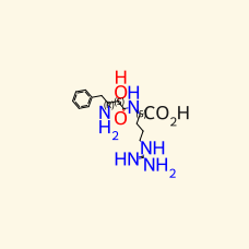 N=C(N)NCCC[C@H](NC(=O)[C@@H](O)[C@H](N)Cc1ccccc1)C(=O)O